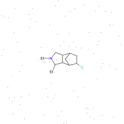 CCC1C2C3CC(CC3F)C2CN1CC